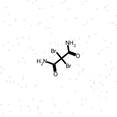 NC(=O)C(Br)(Br)C(N)=O